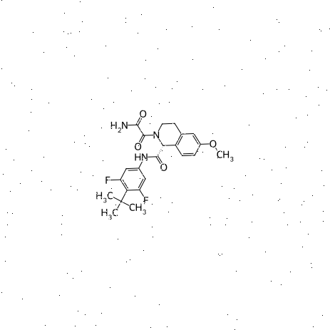 COc1ccc2c(c1)CCN(C(=O)C(N)=O)[C@H]2C(=O)Nc1cc(F)c(C(C)(C)C)c(F)c1